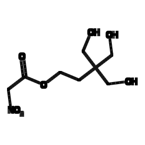 O=C(C[N+](=O)[O-])OCCC(CO)(CO)CO